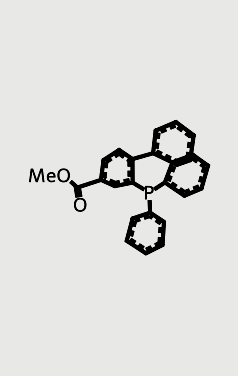 COC(=O)c1ccc(-c2ccccc2)c(P(c2ccccc2)c2ccccc2)c1